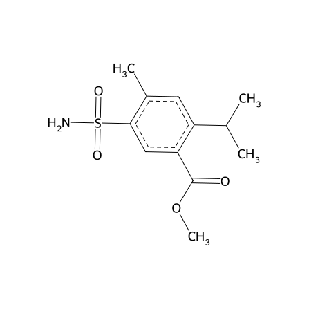 COC(=O)c1cc(S(N)(=O)=O)c(C)cc1C(C)C